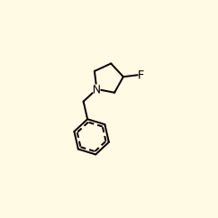 FC1CCN(Cc2ccccc2)C1